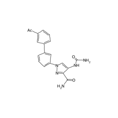 CC(=O)c1cccc(-c2cccc(-n3cc(NC(N)=O)c(C(N)=O)n3)c2)c1